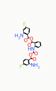 Nc1cc(F)ccc1C(=O)OC(=O)Nc1ccccc1C(=O)OC(=O)c1ccc(F)cc1N